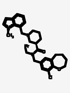 CC(C)CN(Cc1cc(Cl)c2c(c1)CCCCO2)C(=O)[C@@H]1CCCN(Cc2cccc3ccn(C)c23)C1